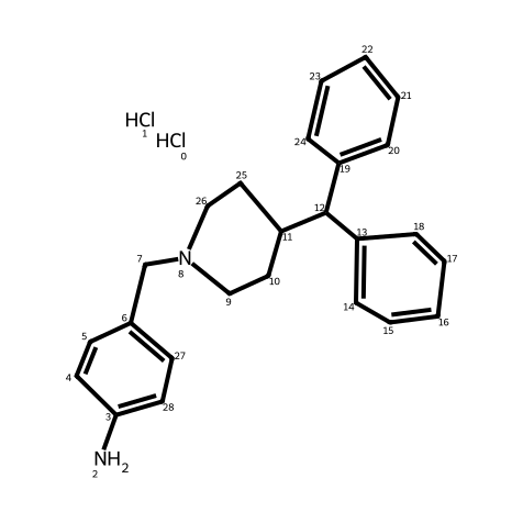 Cl.Cl.Nc1ccc(CN2CCC(C(c3ccccc3)c3ccccc3)CC2)cc1